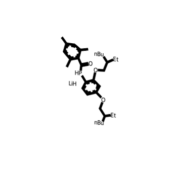 CCCCC(CC)COc1ccc(PC(=O)c2c(C)cc(C)cc2C)c(OCC(CC)CCCC)c1.[LiH]